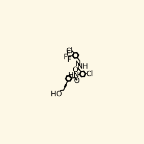 O=C(Nc1ccc(Cl)cc1C(=O)NN=Cc1ccc(Cl)c(C(F)(F)F)c1)c1cccc(C#CCCO)c1